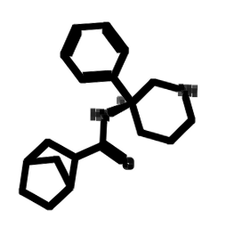 O=C(N[C@]1(c2ccccc2)CCCNC1)C1CC2CCC1C2